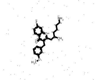 COc1cccc(Cc2c(CC(C)CCCCN)oc3cc(F)ccc3c2=O)c1